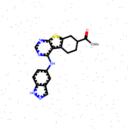 COC(=O)C1CCc2c(sc3ncnc(Nc4ccc5[nH]ncc5c4)c23)C1